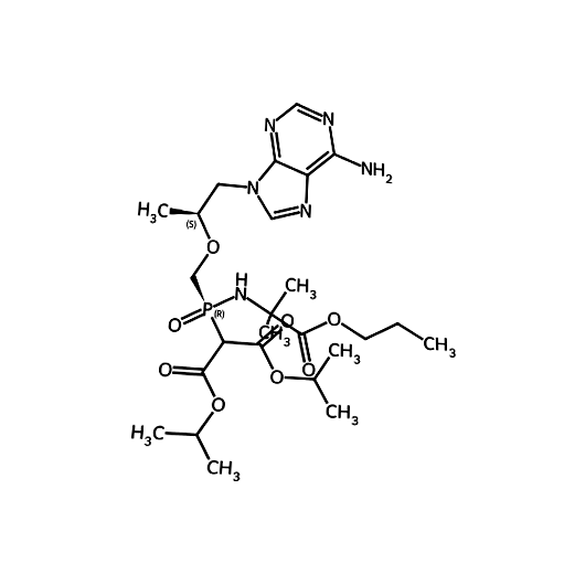 CCCOC(=O)C(C)(C)N[P@](=O)(CO[C@@H](C)Cn1cnc2c(N)ncnc21)C(C(=O)OC(C)C)C(=O)OC(C)C